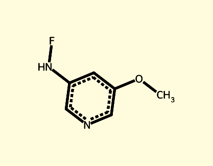 COc1cncc(NF)c1